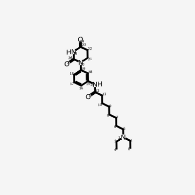 CCN(CC)CCCCCCCC(=O)Nc1cccc(N2CCC(=O)NC2=O)c1